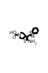 Nc1sc2c(c1-c1nc3ccccc3s1)CCN(C(=O)O)C2